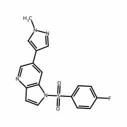 Cn1cc(-c2cnc3ccn(S(=O)(=O)c4ccc(F)cc4)c3c2)cn1